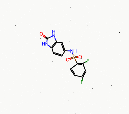 O=c1[nH]c2ccc(NS(=O)(=O)c3ccc(F)cc3F)cc2[nH]1